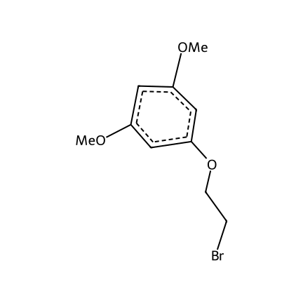 COc1cc(OC)cc(OCCBr)c1